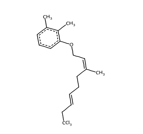 CC(=CCOc1cccc(C)c1C)CCC=CCC(Cl)(Cl)Cl